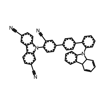 N#Cc1ccc2c(c1)c1ccc(C#N)cc1n2-c1ccc(-c2ccc(-c3ccccc3N3c4ccccc4C4C=CC=CC43)cc2)cc1C#N